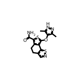 Cc1n[nH]c(C)c1Oc1sc(C(N)=O)c2c1-c1sncc1CC2